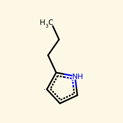 CCCc1[c]cc[nH]1